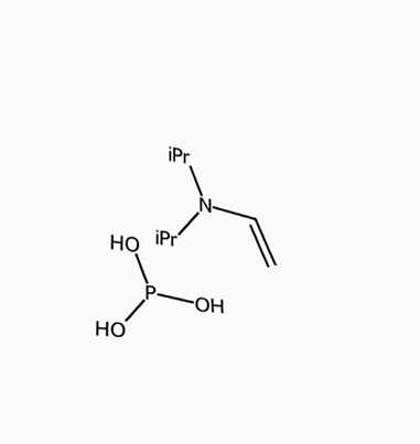 C=CN(C(C)C)C(C)C.OP(O)O